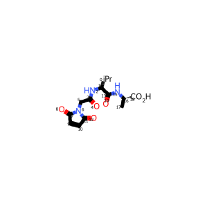 CC(C)C(NC(=O)CN1C(=O)C=CC1=O)C(=O)N[C@@H](C)C(=O)O